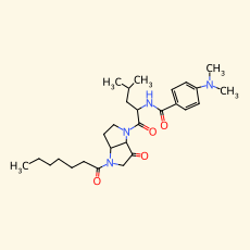 CCCCCCC(=O)N1CC(=O)C2C1CCN2C(=O)C(CC(C)C)NC(=O)c1ccc(N(C)C)cc1